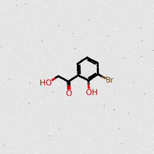 O=C(CO)c1cccc(Br)c1O